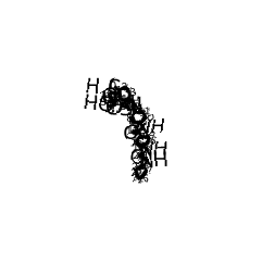 Cc1ccc2nc(-c3ccc(NC(=O)c4ccc(NC(=O)Nc5ccccc5)cc4)cc3)sc2c1S(=O)(=O)O